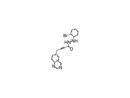 O=C(C#CCc1ccc2ncncc2c1)NNc1ccccc1Br